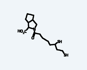 O=C(O)C1C2CCCC2CN1C(=O)CCCCC(S)CCS